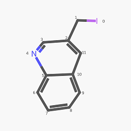 ICc1cnc2ccccc2c1